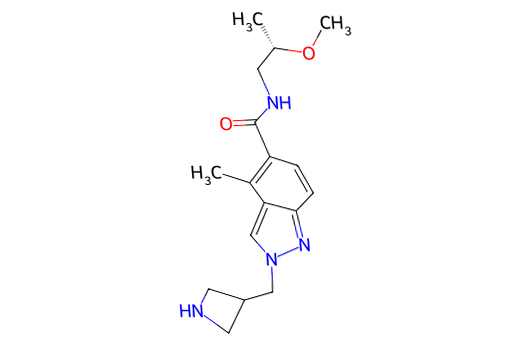 CO[C@@H](C)CNC(=O)c1ccc2nn(CC3CNC3)cc2c1C